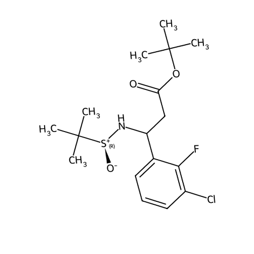 CC(C)(C)OC(=O)CC(N[S@@+]([O-])C(C)(C)C)c1cccc(Cl)c1F